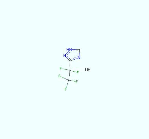 FC(F)(F)C(F)(F)c1nc[nH]n1.[LiH]